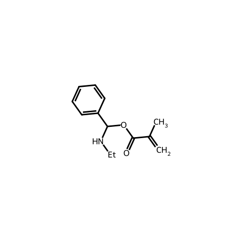 C=C(C)C(=O)OC(NCC)c1ccccc1